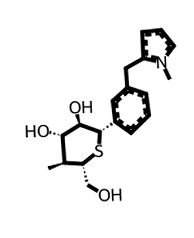 C[C@H]1[C@H](O)[C@@H](O)[C@H](c2cccc(Cc3cccn3C)c2)S[C@@H]1CO